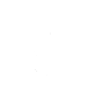 COCc1c(C(F)(F)F)cccc1S(N)(=O)=O